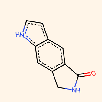 O=C1NCc2cc3[nH]ccc3cc21